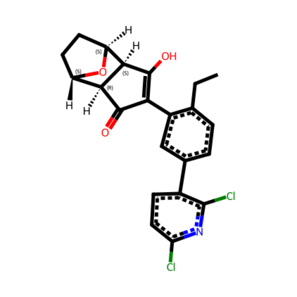 CCc1ccc(-c2ccc(Cl)nc2Cl)cc1C1=C(O)[C@H]2[C@@H](C1=O)[C@@H]1CC[C@@H]2O1